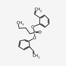 C=Cc1ccccc1OP(=O)(CCCC)Oc1ccccc1C=C